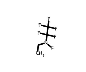 CCN(F)C(F)(F)C(F)(F)F